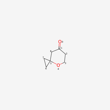 O=C1CCOC2(CC2)C1